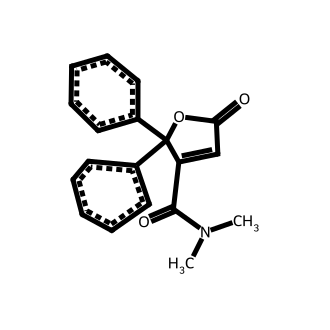 CN(C)C(=O)C1=CC(=O)OC1(c1ccccc1)c1ccccc1